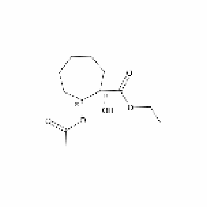 CCOC(=O)[C@]1(O)CCCCC[C@H]1OC(C)=O